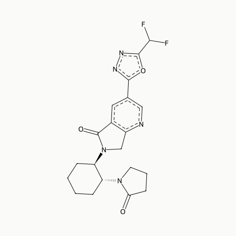 O=C1CCCN1[C@@H]1CCCC[C@H]1N1Cc2ncc(-c3nnc(C(F)F)o3)cc2C1=O